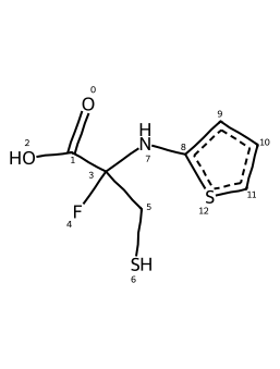 O=C(O)C(F)(CS)Nc1cccs1